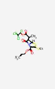 C=CCOC(=O)C1=C(SCC)S[C@@H]2C(C(C)C(=O)OC(Cl)C(Cl)Cl)C(=O)N12